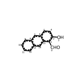 O=Cc1c(O)ccc2cc3ccccc3cc12